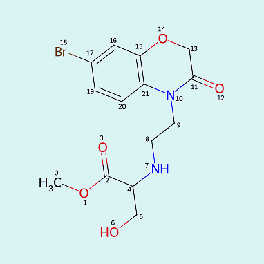 COC(=O)C(CO)NCCN1C(=O)COc2cc(Br)ccc21